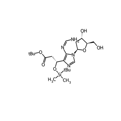 CC(C)(C)OC(=O)C[C@@H](O[Si](C)(C)C(C)(C)C)c1ncn([C@H]2C[C@H](O)[C@@H](CO)O2)c1/N=C\N